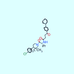 CC(C)[C@@H](NC(=O)CCC(=O)c1ccc(-c2ccccc2)cc1)C(=O)N1CCC(c2ccc(Cl)cc2)C(C)(C)C1